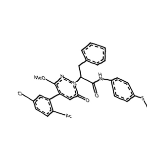 COc1nn(C(Cc2ccccc2)C(=O)Nc2ccc(SN)cc2)c(=O)cc1-c1cc(Cl)ccc1C(C)=O